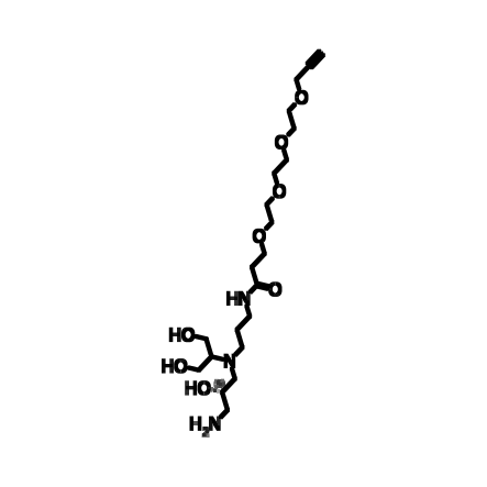 C#CCOCCOCCOCCOCCC(=O)NCCCN(C[C@@H](O)CN)C(CO)CO